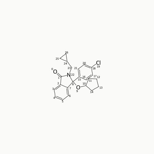 O=C1c2ccccc2C(OC2CCCC2)(c2ccc(Cl)cc2)N1CC1CC1